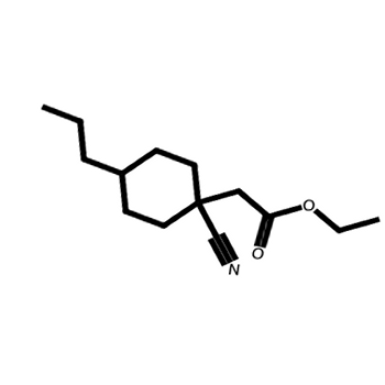 CCCC1CCC(C#N)(CC(=O)OCC)CC1